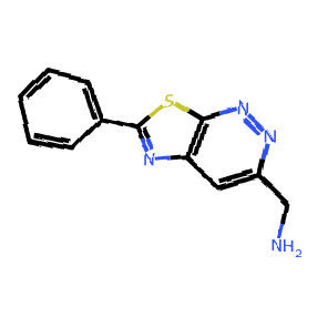 NCc1cc2nc(-c3ccccc3)sc2nn1